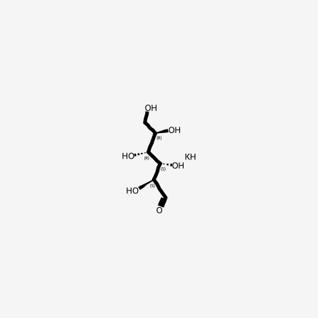 O=C[C@@H](O)[C@@H](O)[C@H](O)[C@H](O)CO.[KH]